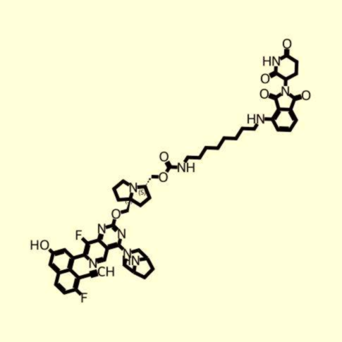 C#Cc1c(F)ccc2cc(O)cc(-c3ncc4c(N5CC6CCC(C5)N6)nc(OC[C@@]56CCCN5[C@H](COC(=O)NCCCCCCCCNc5cccc7c5C(=O)N(C5CCC(=O)NC5=O)C7=O)CC6)nc4c3F)c12